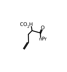 C=CCC(C(=O)O)C(=O)CCC